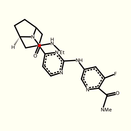 CCNC(=O)N1C2CC[C@@H]1CN(c1ccnc(Nc3cnc(C(=O)NC)c(F)c3)n1)C2